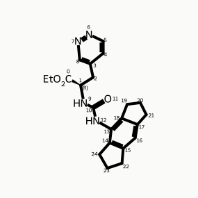 CCOC(=O)[C@@H](Cc1ccnnc1)NC(=O)Nc1c2c(cc3c1CCC3)CCC2